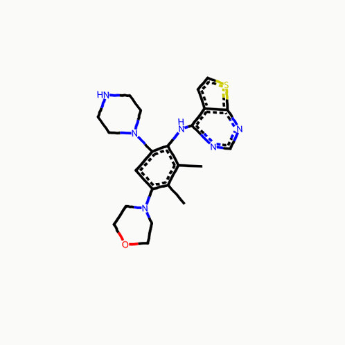 Cc1c(N2CCOCC2)cc(N2CCNCC2)c(Nc2ncnc3sccc23)c1C